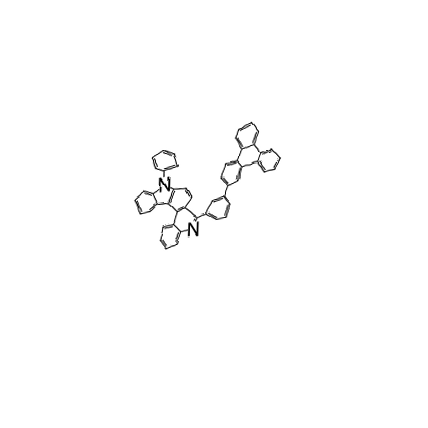 c1ccc(-n2c3ccccc3c3c4c(ccc32)c(-c2cccc(-c3ccc5c6ccccc6c6ccccc6c5c3)c2)nc2ccccc24)cc1